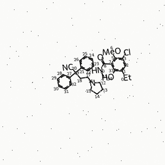 CCc1cc(Cl)c(OC)c(C(=O)NC[C@@H]2CCCN2CCC(C#N)(c2ccccc2)c2ccccc2)c1O